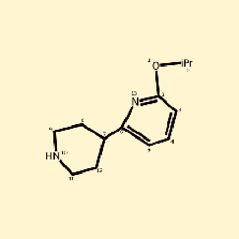 CC(C)Oc1cccc(C2CCNCC2)n1